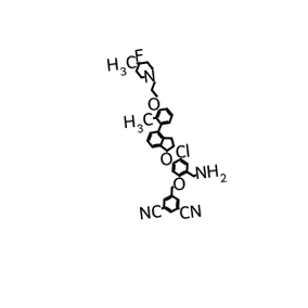 Cc1c(OCCCN2CCC(C)(F)CC2)cccc1-c1cccc2c1CC[C@@H]2Oc1cc(OCc2cc(C#N)cc(C#N)c2)c(CN)cc1Cl